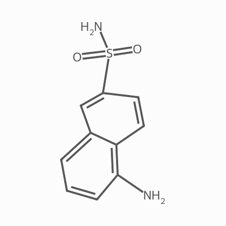 Nc1cccc2cc(S(N)(=O)=O)ccc12